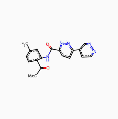 COC(=O)c1ccc(C(F)(F)F)cc1NC(=O)c1ccc(-c2ccnnc2)nn1